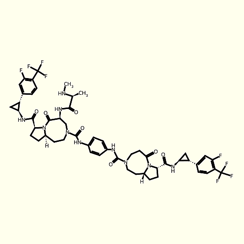 CN[C@@H](C)C(=O)N[C@H]1CN(C(=O)Nc2ccc(NC(=O)N3CCC(=O)N4[C@H](CC[C@H]4C(=O)N[C@H]4C[C@@H]4c4ccc(C(F)(F)F)c(F)c4)CC3)cc2)CC[C@H]2CC[C@@H](C(=O)N[C@H]3C[C@@H]3c3ccc(C(F)(F)F)c(F)c3)N2C1=O